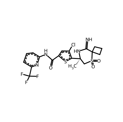 C[C@@]1(c2sc(C(=O)Nc3cccc(C(F)(F)F)n3)cc2Cl)CS(=O)(=O)C2(CCC2)C(=N)N1